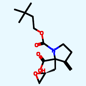 C=C1CCN(C(=O)OCCC(C)(C)C)C1(C[C@@H]1CO1)C(=O)O